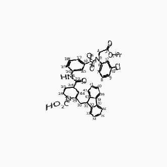 CC(C)OC(=O)CN(c1cccc(Cl)c1)S(=O)(=O)c1cccc(NC(=O)C2CCN(C(=O)O)C(CC3c4ccccc4-c4ccccc43)C2)c1